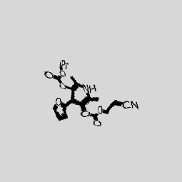 CC1=C(OC(=O)OCCC#N)C(c2ccco2)C(OC(=O)OC(C)C)=C(C)N1